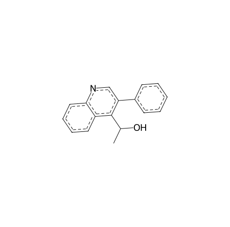 CC(O)c1c(-c2ccccc2)cnc2ccccc12